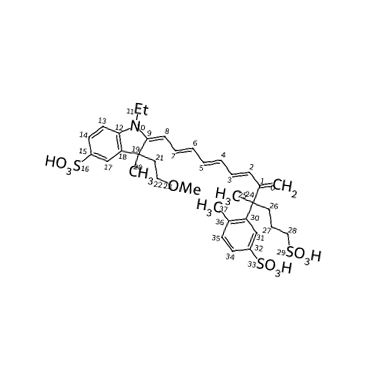 C=C(/C=C/C=C/C=C/C=C1/N(CC)c2ccc(S(=O)(=O)O)cc2C1(C)CCOC)C(C)(CCCS(=O)(=O)O)c1cc(S(=O)(=O)O)ccc1C